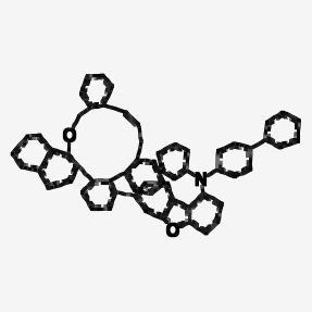 C1=C\c2ccccc2COc2c(ccc3ccccc23)-c2cccc(-c3ccc4c(c3)oc3cccc(N(c5ccccc5)c5ccc(-c6ccccc6)cc5)c34)c2-c2ccccc2C/1